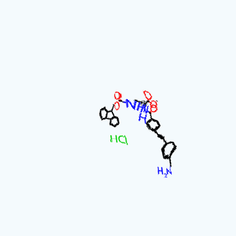 COC(=O)[C@H](CNC(=O)OCC1c2ccccc2-c2ccccc21)NC(=O)c1ccc(C#Cc2ccc(CN)cc2)cc1.Cl